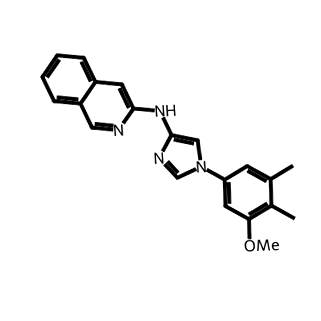 COc1cc(-n2cnc(Nc3cc4ccccc4cn3)c2)cc(C)c1C